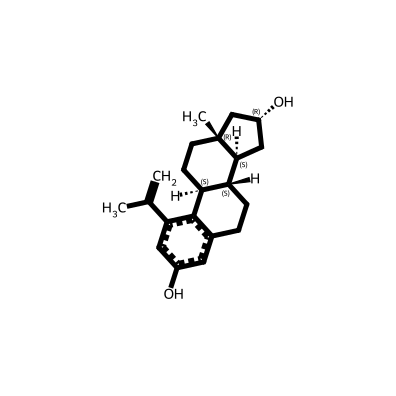 C=C(C)c1cc(O)cc2c1[C@H]1CC[C@]3(C)C[C@H](O)C[C@H]3[C@@H]1CC2